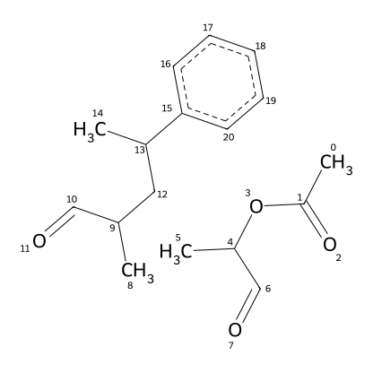 CC(=O)OC(C)C=O.CC(C=O)CC(C)c1ccccc1